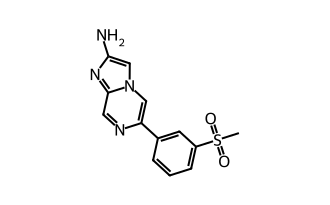 CS(=O)(=O)c1cccc(-c2cn3cc(N)nc3cn2)c1